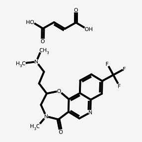 CN(C)CCC1CN(C)C(=O)c2cnc3cc(C(F)(F)F)ccc3c2O1.O=C(O)/C=C/C(=O)O